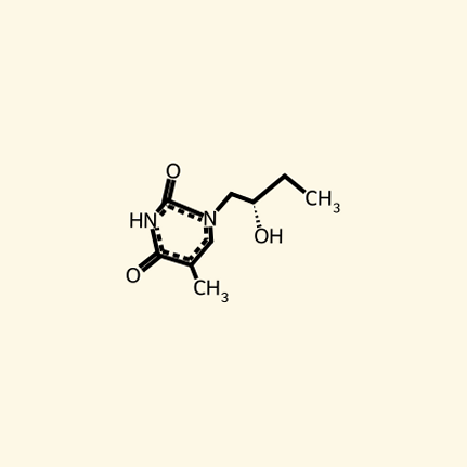 CC[C@H](O)Cn1cc(C)c(=O)[nH]c1=O